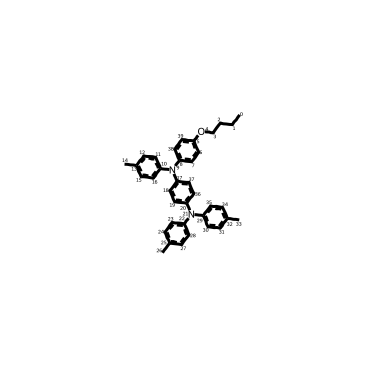 CCCCOc1ccc(N(c2ccc(C)cc2)c2ccc(N(c3ccc(C)cc3)c3ccc(C)cc3)cc2)cc1